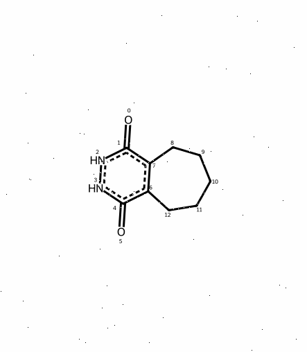 O=c1[nH][nH]c(=O)c2c1CCCCC2